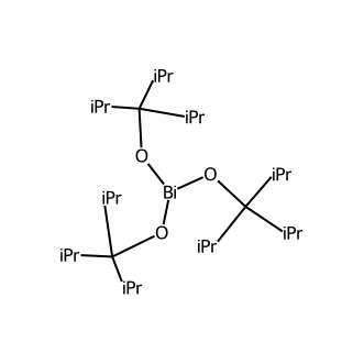 CC(C)C([O][Bi]([O]C(C(C)C)(C(C)C)C(C)C)[O]C(C(C)C)(C(C)C)C(C)C)(C(C)C)C(C)C